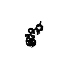 Cc1ccc(F)c(-c2cccc(C(=O)NC(CC(=O)O)c3ccccc3C)n2)c1